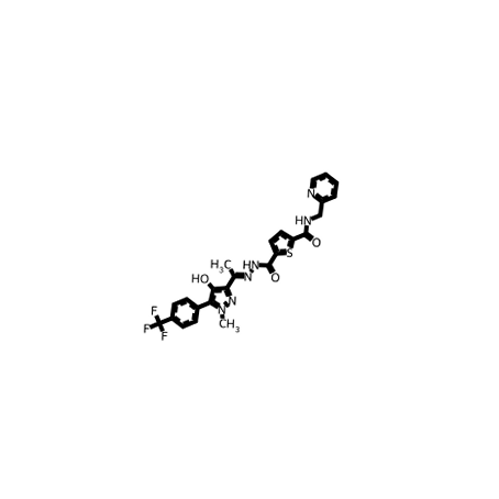 C/C(=N\NC(=O)c1ccc(C(=O)NCc2ccccn2)s1)c1nn(C)c(-c2ccc(C(F)(F)F)cc2)c1O